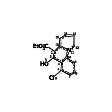 CCOC(=O)c1c(O)c2c(Cl)cccc2[n+]2ccccc12